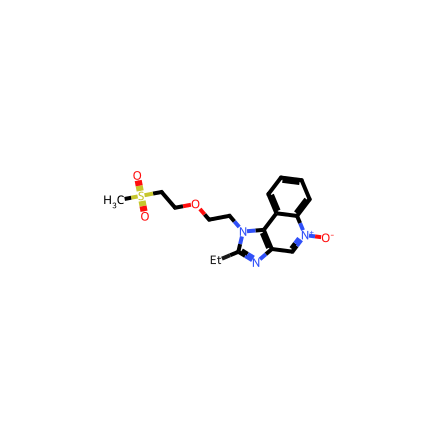 CCc1nc2c[n+]([O-])c3ccccc3c2n1CCOCCS(C)(=O)=O